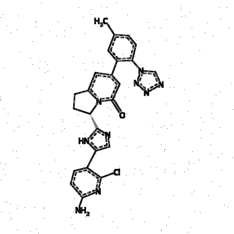 Cc1ccc(-n2cnnn2)c(-c2cc3n(c(=O)c2)[C@H](c2ncc(-c4ccc(N)nc4Cl)[nH]2)CC3)c1